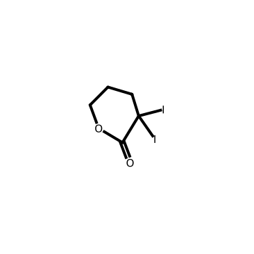 O=C1OCCCC1(I)I